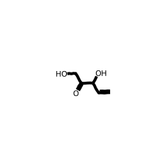 C=CC(O)C(=O)CO